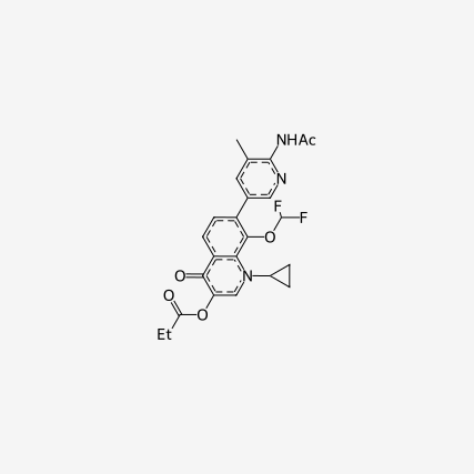 CCC(=O)Oc1cn(C2CC2)c2c(OC(F)F)c(-c3cnc(NC(C)=O)c(C)c3)ccc2c1=O